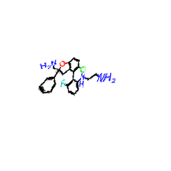 NCCNc1cccc(F)c1-c1c(Cl)ccc2c1C[C@](CN)(c1ccccc1)O2